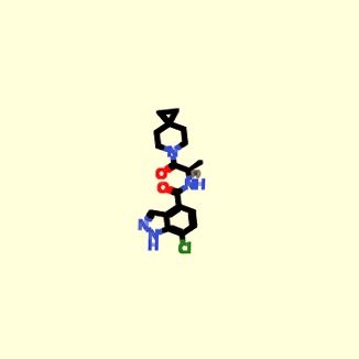 C[C@@H](NC(=O)c1ccc(Cl)c2[nH]ncc12)C(=O)N1CCC2(CC1)CC2